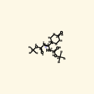 CC(C)(C)OC(=O)/N=C(\NC(=O)OC(C)(C)C)N1CCC(=O)CC1